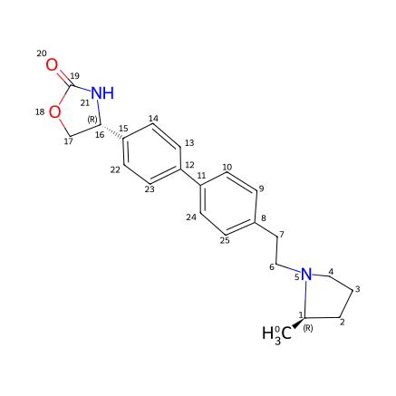 C[C@@H]1CCCN1CCc1ccc(-c2ccc([C@@H]3COC(=O)N3)cc2)cc1